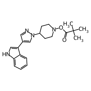 CC(C)(C)C(=O)ON1CCC(n2cc(-c3c[nH]c4ccccc34)cn2)CC1